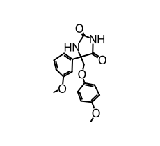 COc1ccc(OCC2(c3cccc(OC)c3)NC(=O)NC2=O)cc1